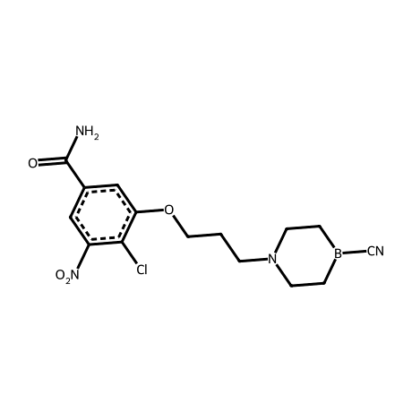 N#CB1CCN(CCCOc2cc(C(N)=O)cc([N+](=O)[O-])c2Cl)CC1